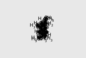 CC(C)C[C@H](NC(=O)[C@@H]1CCCN1C(=O)[C@H](Cc1ccccc1)NC(=O)[C@H](C)NC(=O)[C@H](CCC(=O)OC(C)(C)C)NC(=O)[C@H](C)NC(=O)[C@H](COC(C)(C)C)NC(=O)[C@@H](N)CCC(=O)OC(C)(C)C)C(=O)N[C@@H](CCC(=O)OC(C)(C)C)C(=O)N[C@@H](Cc1ccccc1)C(=O)O